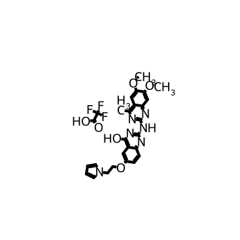 COc1cc2nc(Nc3nc(O)c4cc(OCCn5cccc5)ccc4n3)nc(C)c2cc1OC.O=C(O)C(F)(F)F